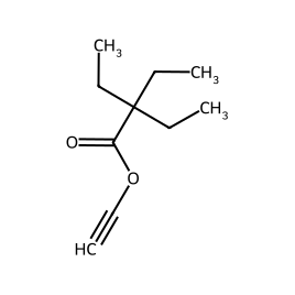 C#COC(=O)C(CC)(CC)CC